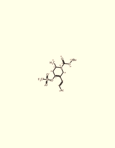 CC(=O)/C=C/C1=C(OS(=O)(=O)C(F)(F)F)CC(C)N(C(=O)OC(C)(C)C)C1